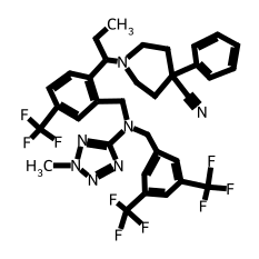 CCC(c1ccc(C(F)(F)F)cc1CN(Cc1cc(C(F)(F)F)cc(C(F)(F)F)c1)c1nnn(C)n1)N1CCC(C#N)(c2ccccc2)CC1